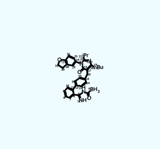 BC(=O)NC(=N)c1ccccc1-c1ccc(Cc2c(CCCC)nc(C(C)C)n(-c3ccc4c(c3)CCO4)c2=O)cc1